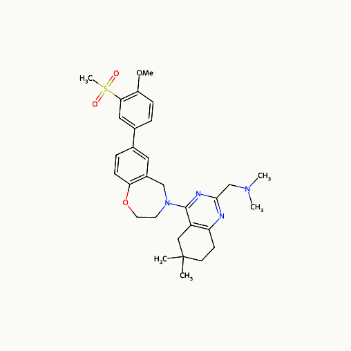 COc1ccc(-c2ccc3c(c2)CN(c2nc(CN(C)C)nc4c2CC(C)(C)CC4)CCO3)cc1S(C)(=O)=O